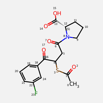 CC(=O)SC(CC(=O)N1CCC[C@H]1C(=O)O)C(=O)c1cccc(F)c1